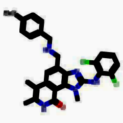 COc1ccc(CNCc2cc3c(C)c(C)[nH]c(=O)c3c3c2nc(Nc2c(Cl)cccc2Cl)n3C)cc1